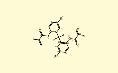 C=C(C)C(=O)Oc1ccc(Br)cc1C(C)(C)c1cc(Br)ccc1OC(=O)C(=C)C